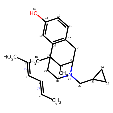 C/C=C/C=C/C(=O)O.CC1C2Cc3ccc(O)cc3C1(C)CCN2CC1CC1